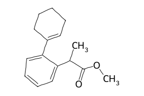 COC(=O)C(C)c1ccccc1C1=CCCCC1